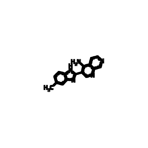 Cc1ccc2[nH]c(-c3cnc4cnccc4c3N)nc2c1